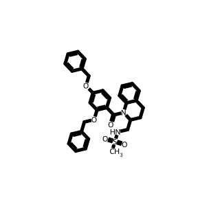 CS(=O)(=O)NCC1CCc2ccccc2N1C(=O)c1ccc(OCc2ccccc2)cc1OCc1ccccc1